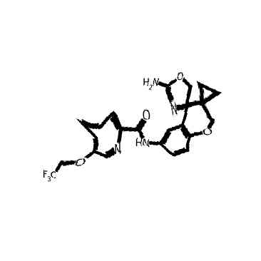 NC1=NC2(CO1)c1cc(NC(=O)C3=C/C=C/C=C(OCC(F)(F)F)/C=N\3)ccc1OCC21CC1